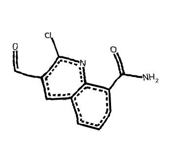 NC(=O)c1cccc2cc(C=O)c(Cl)nc12